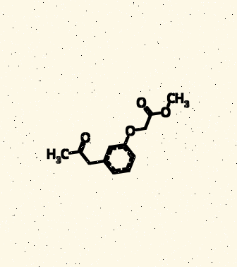 COC(=O)COc1cccc(CC(C)=O)c1